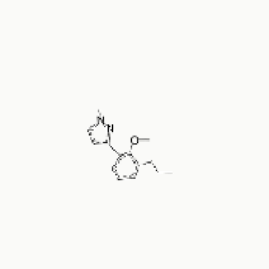 CCCc1cccc(-c2ccn(C)n2)c1OC